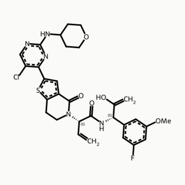 C=C[C@@H](C(=O)N[C@H](C(=C)O)c1cc(F)cc(OC)c1)N1CCc2sc(-c3nc(NC4CCOCC4)ncc3Cl)cc2C1=O